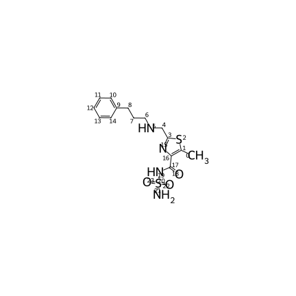 Cc1sc(CNCCCc2ccccc2)nc1C(=O)NS(N)(=O)=O